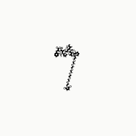 CCC(C)C(C(CC(=O)N1CCC[C@H]1C(OC)C(C)C(=O)NC(Cc1ccccc1)C(=O)O)OC)N(C)C(=O)C(NC(=O)[C@]1(C)CCCN1C(=O)CCOCCOCCOCCOCCOCCOCCN1C(=O)C=CC1=O)C(C)C